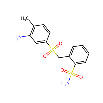 Cc1ccc(S(=O)(=O)Cc2ccccc2S(N)(=O)=O)cc1N